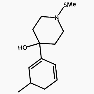 CSN1CCC(O)(C2=CC(C)CC=C2)CC1